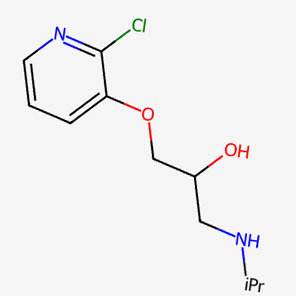 CC(C)NCC(O)COc1cccnc1Cl